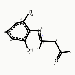 CC(=O)C/C(C)=N/c1c(O)cccc1Cl